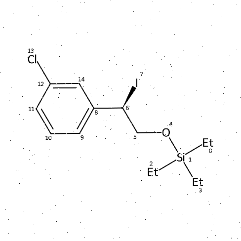 CC[Si](CC)(CC)OC[C@H](I)c1cccc(Cl)c1